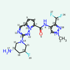 Cn1cc(NC(=O)c2ccc3cnc(N4C[C@@H](N)C[C@H](F)C4)nn23)c(C(F)F)n1